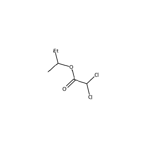 CCC(C)OC(=O)C(Cl)Cl